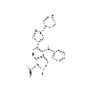 CC(=O)N1c2ccc(-c3cnn(C4CCNCC4)c3)c(Nc3ccccc3)c2CCC1C